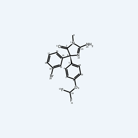 CN1C(=O)[C@@](c2ccc(OC(F)F)cc2)(c2cccc(Br)c2)N=C1N